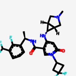 C[C@@H](NC(=O)c1cn(C2CC(F)(F)C2)c(=O)cc1N[C@@H]1[C@@H]2CN(C)C[C@@H]21)c1cccc(C(F)F)c1F